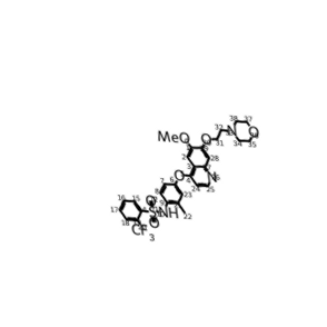 COc1cc2c(Oc3ccc(NS(=O)(=O)c4ccccc4C(F)(F)F)c(C)c3)ccnc2cc1OCCN1CCOCC1